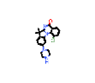 CC1(C)c2ccc(N3CCNCC3)cc2-n2c1nc(=O)c1cccc(Cl)c12